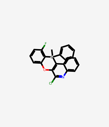 C[Si]1(c2ccccc2)c2c(F)cccc2Oc2c(Cl)nc3ccccc3c21